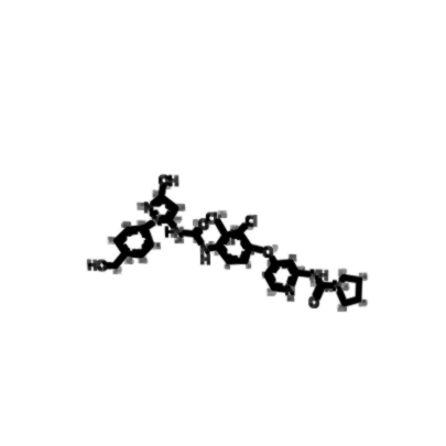 O=C(Nc1ccc(Oc2ccnc(NC(=O)N3CCCC3)c2)c(Cl)c1Cl)Nc1cc(O)nn1-c1ccc(CO)cc1